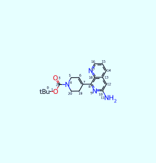 CC(C)(C)OC(=O)N1CC=C(c2nc(N)cc3cccnc23)CC1